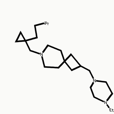 CCN1CCN(CC2CC3(CCN(CC4(CCC(C)C)CC4)CC3)C2)CC1